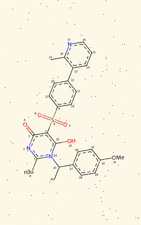 CCCCc1nc(=O)c(S(=O)(=O)c2ccc(-c3cccnc3C)cc2)c(O)n1C(C)c1ccc(OC)cc1